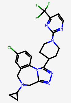 FC(F)(F)c1ccnc(N2CCC(c3nnc4n3-c3ccc(Cl)cc3CN(C3CC3)C4)CC2)n1